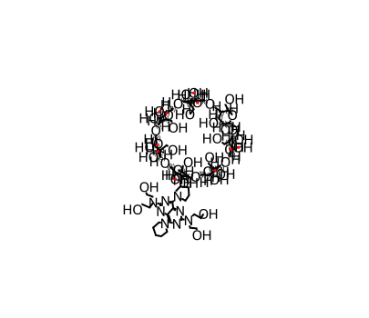 OCCN(CCO)c1nc(N2CCCCC2)c2nc(N(CCO)CCO)nc(N3CCCCC3)c2n1.OC[C@H]1O[C@@H]2O[C@H]3[C@H](O)[C@@H](O)[C@@H](O[C@H]4[C@H](O)[C@@H](O)[C@@H](O[C@H]5[C@H](O)[C@@H](O)[C@@H](O[C@H]6[C@H](O)[C@@H](O)[C@@H](O[C@H]7[C@H](O)[C@@H](O)[C@@H](O[C@H]8[C@H](O)[C@@H](O)[C@@H](O[C@H]1[C@H](O)[C@H]2O)O[C@@H]8CO)O[C@@H]7CO)O[C@@H]6CO)O[C@@H]5CO)O[C@@H]4CO)O[C@@H]3CO